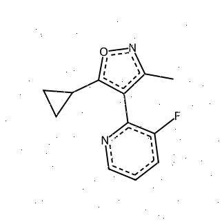 Cc1noc(C2CC2)c1-c1ncccc1F